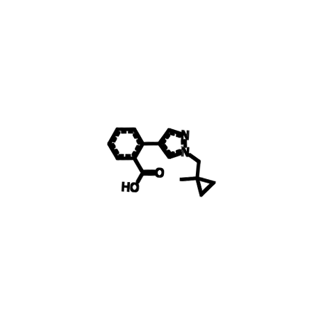 CC1(Cn2cc(-c3ccccc3C(=O)O)cn2)CC1